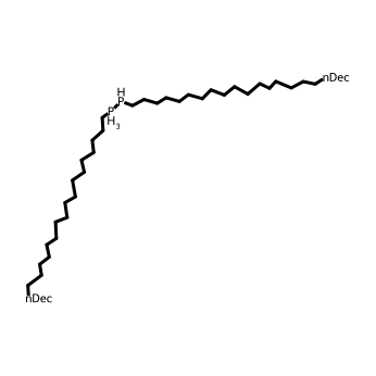 CCCCCCCCCCCCCCCCCCCCCCCCCCCP[PH3]CCCCCCCCCCCCCCCCCCCCCCCCCCC